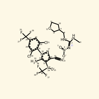 CN/C(=N/[N+](=O)[O-])NCC1CCOC1.N#Cc1nn(-c2c(Cl)cc(C(F)(F)F)cc2Cl)c(N)c1[S+]([O-])C(F)(F)F